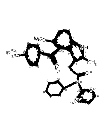 COc1ccc2[nH]c(C)c(CC(=O)N(c3nccs3)C3CCCCC3)c2c1C(=O)c1ccc(C(F)(F)F)cc1